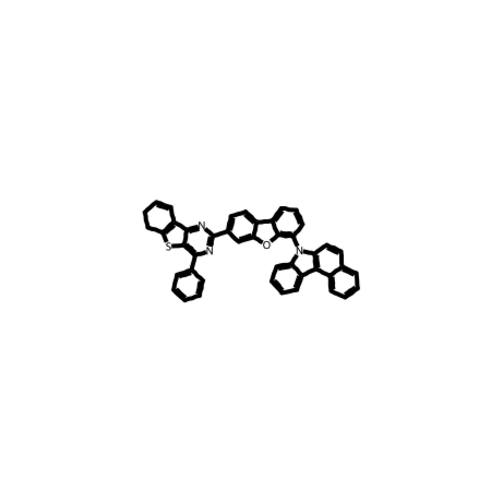 C1=Cc2c(sc3c(-c4ccccc4)nc(-c4ccc5c(c4)oc4c(-n6c7ccccc7c7c8ccccc8ccc76)cccc45)nc23)CC1